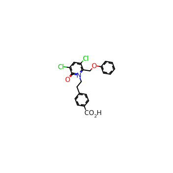 O=C(O)c1ccc(CCn2c(COc3ccccc3)c(Cl)cc(Cl)c2=O)cc1